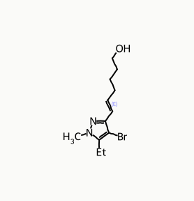 CCc1c(Br)c(/C=C/CCCCO)nn1C